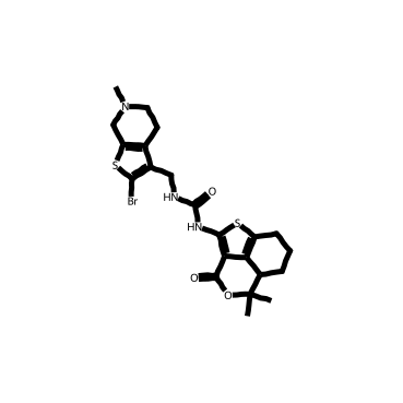 CN1CCc2c(sc(Br)c2CNC(=O)Nc2sc3c4c2C(=O)OC(C)(C)C4CCC3)C1